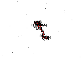 CCc1cc(Nc2ncc(Cl)c(Nc3ccc4nccnc4c3NS(C)(=O)=O)n2)c(OC)cc1N1CCC(N2CCN(CCOc3cc(F)cc4c3CN(C3CCC(=O)NC3=O)C4=O)CC2)CC1